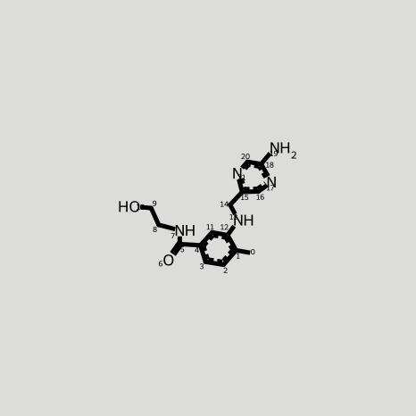 Cc1ccc(C(=O)NCCO)cc1NCc1cnc(N)cn1